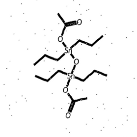 CC[CH2][Sn]([CH2]CC)([O]C(C)=O)[O][Sn]([CH2]CC)([CH2]CC)[O]C(C)=O